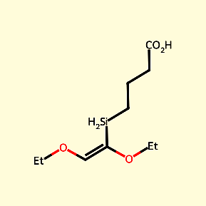 CCOC=C(OCC)[SiH2]CCCC(=O)O